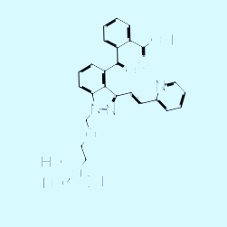 C[Si](C)(C)CCOCn1nc(/C=C/c2ccccn2)c2c(C(=O)c3ccccc3C(=O)O)cccc21